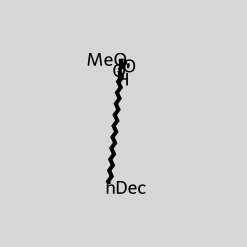 CCCCCCCCCCCCCCCCCCCCCCCCCCCC/C=C/O[PH](=O)OC